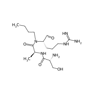 CCCCN(C(=O)[C@H](C)NC(=O)[C@H](N)CO)[C@H](C=O)CCCNC(=N)N